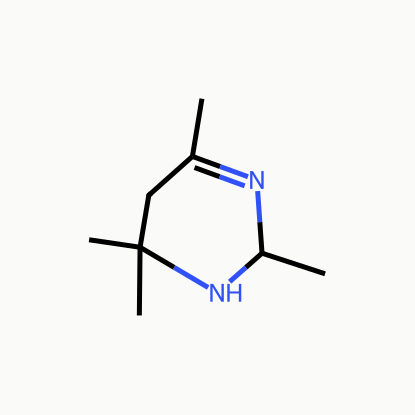 CC1=NC(C)NC(C)(C)C1